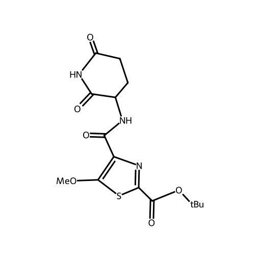 COc1sc(C(=O)OC(C)(C)C)nc1C(=O)NC1CCC(=O)NC1=O